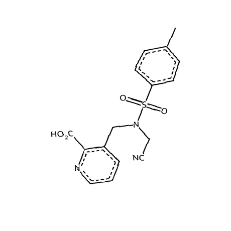 Cc1ccc(S(=O)(=O)N(CC#N)Cc2cccnc2C(=O)O)cc1